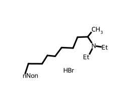 Br.CCCCCCCCCCCCCCCCC(C)N(CC)CC